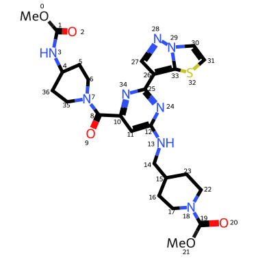 COC(=O)NC1CCN(C(=O)c2cc(NCC3CCN(C(=O)OC)CC3)nc(-c3cnn4ccsc34)n2)CC1